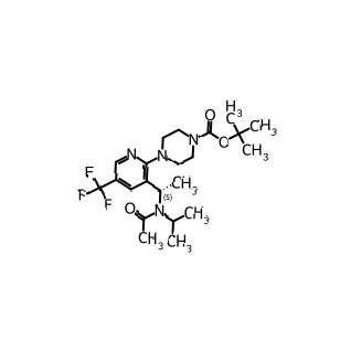 CC(=O)N(C(C)C)[C@@H](C)c1cc(C(F)(F)F)cnc1N1CCN(C(=O)OC(C)(C)C)CC1